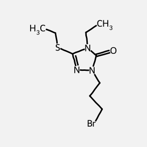 CCSc1nn(CCCBr)c(=O)n1CC